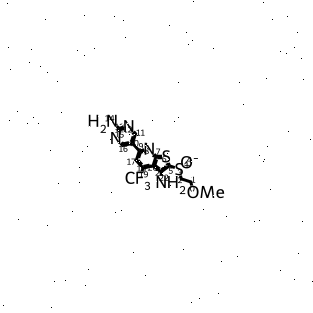 COCC[S@@+]([O-])c1sc2nc(-c3cnc(N)nc3)cc(C(F)(F)F)c2c1N